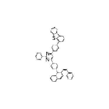 c1ccc(-c2nc(-c3ccc(-c4c5ccccc5cc5c4ccc4ccccc45)cc3)cc(-c3ccc(-c4cccc5c4sc4ccccc45)cc3)n2)cc1